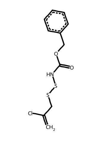 C=C(Cl)CSSNC(=O)OCc1ccccc1